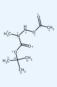 CC(=O)ONN(C)C(=O)OC(C)(C)C